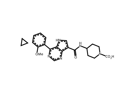 C1CC1.COc1ccccc1-c1ncnc2c(C(=O)NC3CCN(C(=O)O)CC3)c[nH]c12